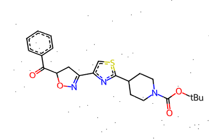 CC(C)(C)OC(=O)N1CCC(c2nc(C3=NOC(C(=O)c4ccccc4)C3)cs2)CC1